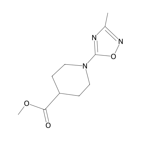 COC(=O)C1CCN(c2nc(C)no2)CC1